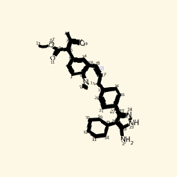 C=Nc1ccc(C(C(C)=O)C(=O)OC)cc1/C=C\Cc1ccc(-c2n[nH]c(N)c2C2CCCCC2)cc1